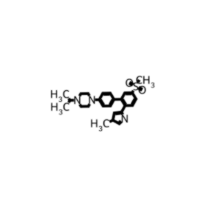 CC1C=NC(c2ccc(S(C)(=O)=O)cc2-c2ccc(N3CCN(C(C)C)CC3)cc2)=C1